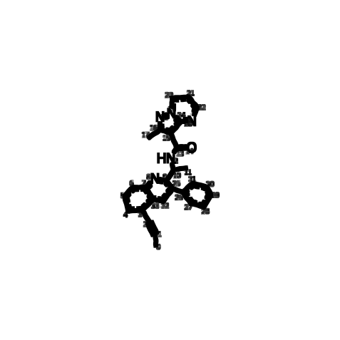 CC#Cc1cccc2nc(C(C)NC(=O)c3c(C)nn4cccnc34)c(-c3ccccc3)cc12